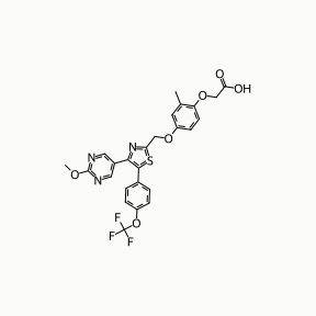 COc1ncc(-c2nc(COc3ccc(OCC(=O)O)c(C)c3)sc2-c2ccc(OC(F)(F)F)cc2)cn1